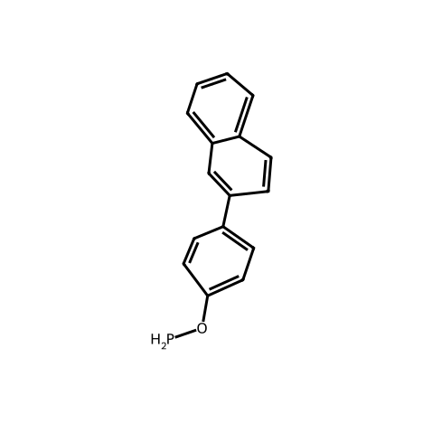 POc1ccc(-c2ccc3ccccc3c2)cc1